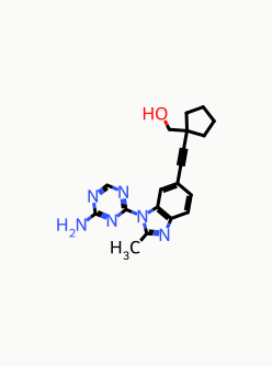 Cc1nc2ccc(C#CC3(CO)CCCC3)cc2n1-c1ncnc(N)n1